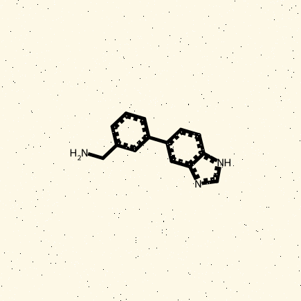 NCc1cccc(-c2ccc3[nH]cnc3c2)c1